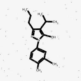 CCCc1nn(-c2ccc(C)c(C)c2)c(O)c1C(C)C